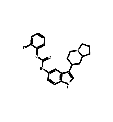 O=C(Nc1ccc2[nH]cc(C3CCN4CCCC4C3)c2c1)Oc1ccccc1F